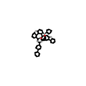 C1=CC2C(c3ccccc3N2c2ccccc2)c2c1oc1cccc(-c3nc(-c4ccc(-c5ccccc5)cc4)nc(-c4ccc5oc6ccccc6c5c4)n3)c21